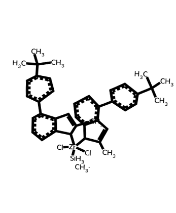 CC1=Cc2c(-c3ccc(C(C)(C)C)cc3)cccc2[CH]1[Zr]([SiH3])([Cl])([Cl])[CH]1C(C)=Cc2c(-c3ccc(C(C)(C)C)cc3)cccc21.[CH3]